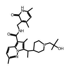 Cc1ccc2c(C(=O)NCc3c(C)cc(C)[nH]c3=O)c(C)c(C(C)C3CCN(CC(C)(C)O)CC3)n2n1